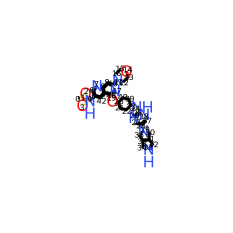 CS(=O)(=O)Nc1cnc2cc(N3CCOCC3)nc(O[C@H]3CC[C@@H](Nc4ncc(N5CC6CNCC6C5)cn4)CC3)c2c1